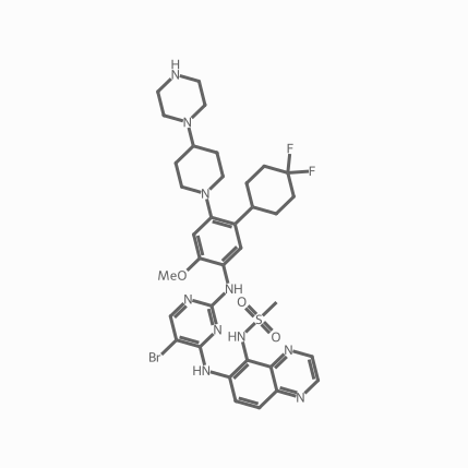 COc1cc(N2CCC(N3CCNCC3)CC2)c(C2CCC(F)(F)CC2)cc1Nc1ncc(Br)c(Nc2ccc3nccnc3c2NS(C)(=O)=O)n1